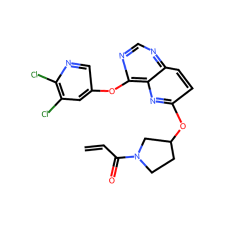 C=CC(=O)N1CCC(Oc2ccc3ncnc(Oc4cnc(Cl)c(Cl)c4)c3n2)C1